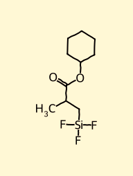 CC(C[Si](F)(F)F)C(=O)OC1CCCCC1